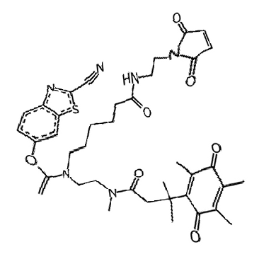 C=C(Oc1ccc2nc(C#N)sc2c1)N(CCCCCC(=O)NCCN1C(=O)C=CC1=O)CCN(C)C(=O)CC(C)(C)C1=C(C)C(=O)C(C)=C(C)C1=O